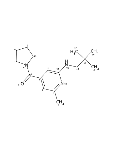 Cc1cc(C(=O)N2CCCC2)cc(NCC(C)(C)C)n1